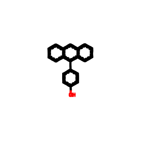 Oc1ccc(-c2c3ccccc3cc3ccccc23)cc1